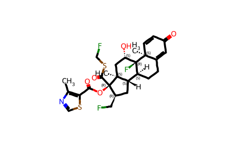 Cc1ncsc1C(=O)O[C@]1(C(=O)SCF)[C@H](CF)C[C@H]2[C@@H]3CCC4=CC(=O)C=C[C@]4(C)[C@@]3(F)[C@@H](O)C[C@@]21C